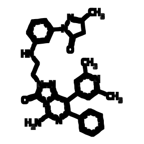 CC1=NN(c2cccc(NCCn3nc4c(-c5cc(C)nc(C)c5)c(-c5ccccc5)nc(N)n4c3=O)c2)C(=O)C1